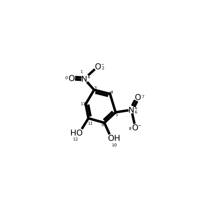 O=[N+]([O-])c1[c]c([N+](=O)[O-])c(O)c(O)c1